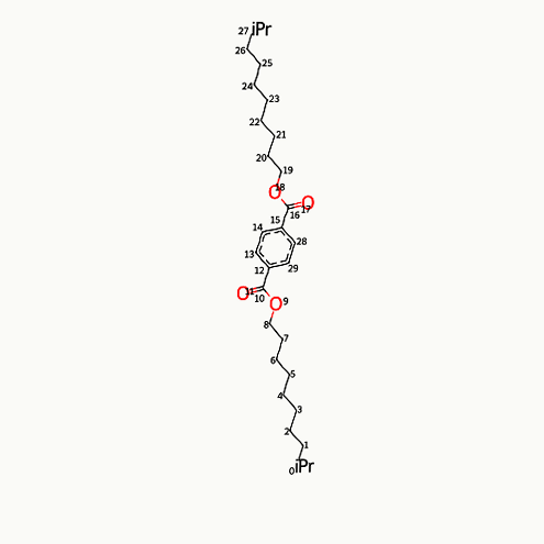 CC(C)CCCCCCCCOC(=O)c1ccc(C(=O)OCCCCCCCCC(C)C)cc1